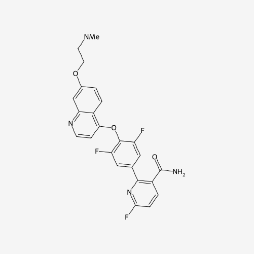 CNCCOc1ccc2c(Oc3c(F)cc(-c4nc(F)ccc4C(N)=O)cc3F)ccnc2c1